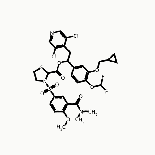 COc1ccc(S(=O)(=O)N2CCSC2C(=O)OC(Cc2c(Cl)cncc2Cl)c2ccc(OC(F)F)c(OCC3CC3)c2)cc1C(=O)N(C)C